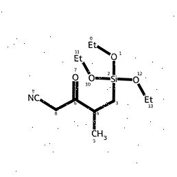 CCO[Si](CC(C)C(=O)CC#N)(OCC)OCC